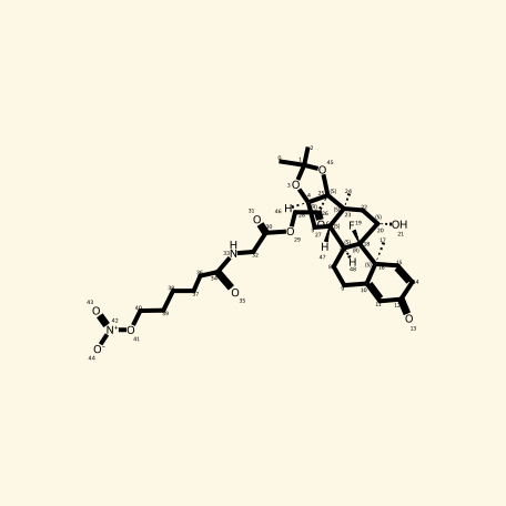 CC1(C)O[C@@H]2C[C@H]3[C@@H]4CCC5=CC(=O)C=C[C@]5(C)[C@@]4(F)[C@@H](O)C[C@]3(C)[C@]2(C(=O)COC(=O)CNC(=O)CCCCCO[N+](=O)[O-])O1